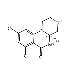 O=C1N[C@@H]2CNCCN2c2cc(Cl)cc(Cl)c21